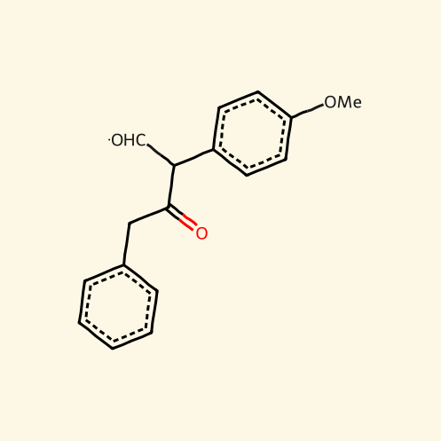 COc1ccc(C([C]=O)C(=O)Cc2ccccc2)cc1